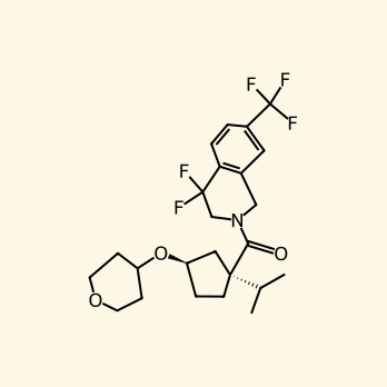 CC(C)[C@]1(C(=O)N2Cc3cc(C(F)(F)F)ccc3C(F)(F)C2)CC[C@@H](OC2CCOCC2)C1